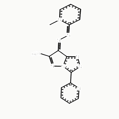 CCCCC1=Nn2c(nnc2-c2ccccn2)C1=NN=c1ccccn1C